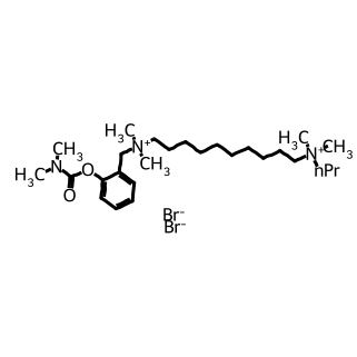 CCC[N+](C)(C)CCCCCCCCCC[N+](C)(C)Cc1ccccc1OC(=O)N(C)C.[Br-].[Br-]